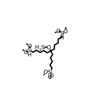 CO[SiH](CCCCCC(CCCCC[SiH](OC)OC)(CCCCC[SiH](OC)OC)O[SiH3])OC